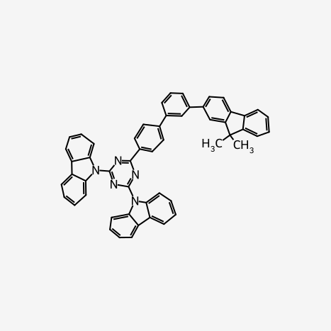 CC1(C)c2ccccc2-c2ccc(-c3cccc(-c4ccc(-c5nc(-n6c7ccccc7c7ccccc76)nc(-n6c7ccccc7c7ccccc76)n5)cc4)c3)cc21